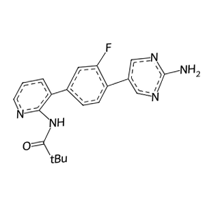 CC(C)(C)C(=O)Nc1ncccc1-c1ccc(-c2cnc(N)nc2)c(F)c1